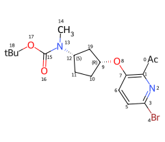 CC(=O)c1nc(Br)ccc1O[C@@H]1CC[C@H](N(C)C(=O)OC(C)(C)C)C1